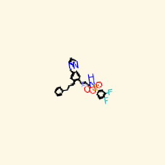 O=C(/C=C/c1ccc(Cn2cccn2)cc1CCCc1ccccc1)NS(=O)(=O)c1ccc(F)c(F)c1